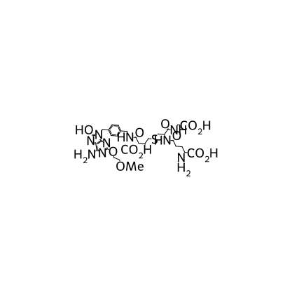 COCCOc1nc(N)c2nc(O)n(Cc3ccc(CNC(=O)CC(CSCC(NC(=O)CCC(N)C(=O)O)C(=O)NCC(=O)O)C(=O)O)cc3)c2n1